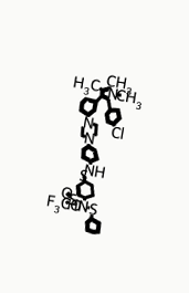 Cc1c(-c2cccc(N3CCN(c4ccc(NSC5C=C(S(=O)(=O)C(F)(F)F)C(NSc6ccccc6)CC5)cc4)CC3)c2)c(-c2ccc(Cl)cc2)n(C)c1C